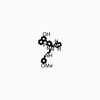 COc1ccc(CNCCc2nc(N3C[C@H]4CC[C@@H](C3)N4)c3ccc(-c4cc(O)cc5ccccc45)c(F)c3n2)cc1